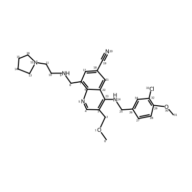 COCc1cnc2c(CNCCN3CCCC3)cc(C#N)cc2c1NCc1ccc(OC)c(Cl)c1